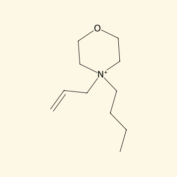 C=CC[N+]1(CCCC)CCOCC1